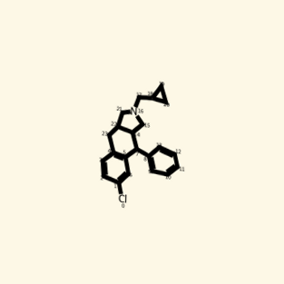 Clc1ccc2c(c1)C(c1ccccc1)C1CN(CC3CC3)CC1C2